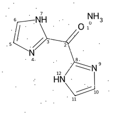 N.O=C(c1ncc[nH]1)c1ncc[nH]1